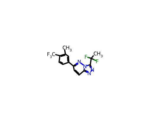 Cc1cc(-c2ccc3nnc(C(C)(F)F)n3n2)ccc1C(F)(F)F